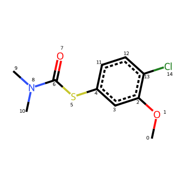 COc1cc(SC(=O)N(C)C)ccc1Cl